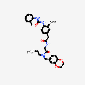 COc1cc(CC(=O)NCC(=O)N(CCC(=O)O)Cc2ccc3c(c2)OCCO3)ccc1NC(=O)Nc1ccccc1C